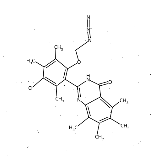 Cc1c(C)c(OCN=[N+]=[N-])c(-c2nc3c(C)c(C)c(C)c(C)c3c(=O)[nH]2)c(C)c1Cl